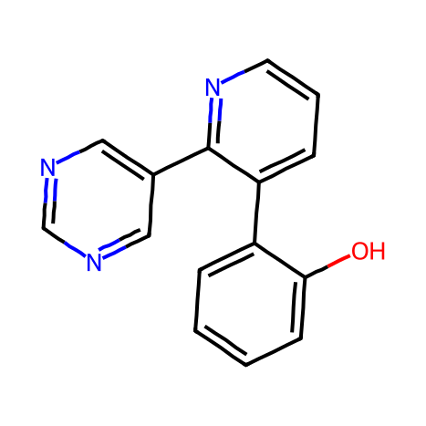 Oc1ccccc1-c1cccnc1-c1cncnc1